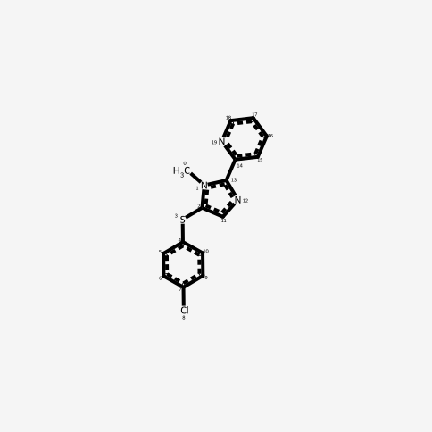 Cn1c(Sc2ccc(Cl)cc2)cnc1-c1ccccn1